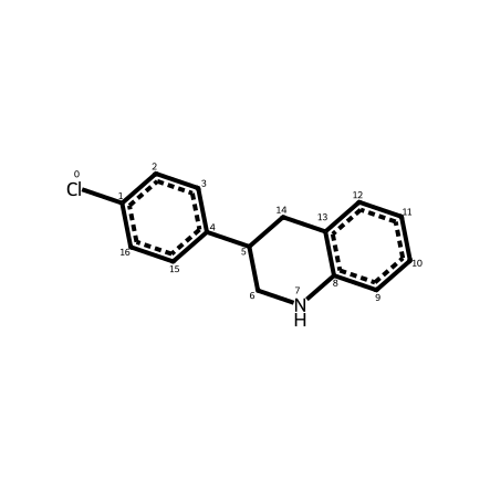 Clc1ccc(C2CNc3ccccc3C2)cc1